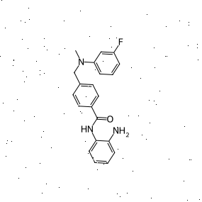 CN(Cc1ccc(C(=O)Nc2ccccc2N)cc1)c1cccc(F)c1